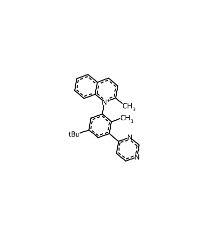 Cc1c(-c2ccncn2)cc(C(C)(C)C)cc1-[n+]1c(C)ccc2ccccc21